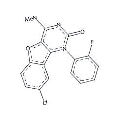 CNc1nc(=O)n(-c2ccccc2F)c2c1oc1ccc(Cl)cc12